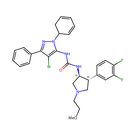 COCCN1C[C@@H](NC(=O)Nc2c(Br)c(-c3ccccc3)nn2C2C=CC=CC2)[C@H](c2ccc(F)c(F)c2)C1